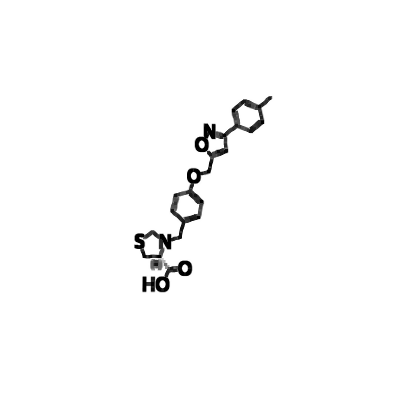 Cc1ccc(-c2cc(COc3ccc(CN4CSC[C@H]4C(=O)O)cc3)on2)cc1